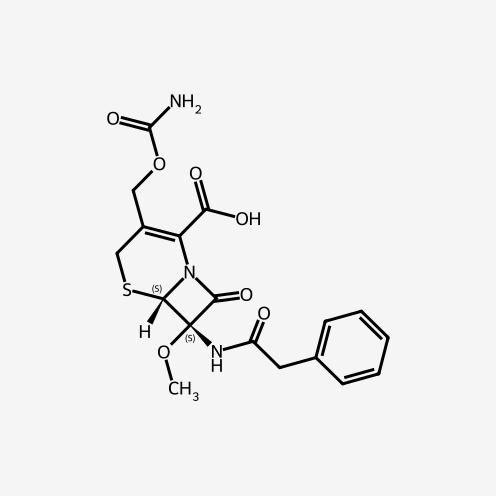 CO[C@@]1(NC(=O)Cc2ccccc2)C(=O)N2C(C(=O)O)=C(COC(N)=O)CS[C@H]21